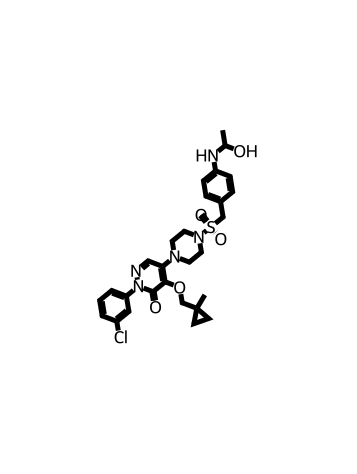 CC(O)Nc1ccc(CS(=O)(=O)N2CCN(c3cnn(-c4cccc(Cl)c4)c(=O)c3OCC3(C)CC3)CC2)cc1